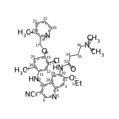 CCOc1cc2ncc(C#N)c(Nc3cc(Cl)c(OCc4ncccc4C)cc3C)c2cc1NC(=O)CCCN(C)C